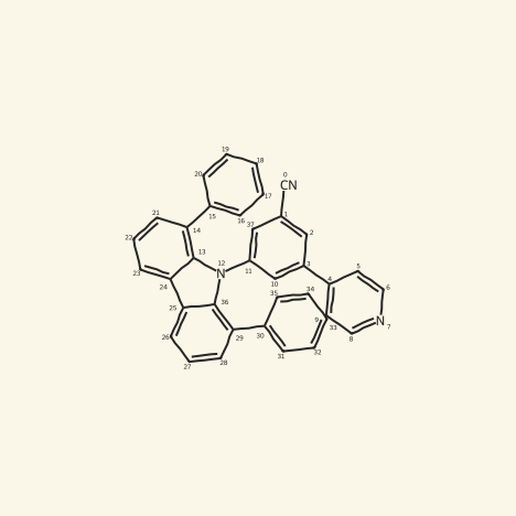 N#Cc1cc(-c2ccncc2)cc(-n2c3c(-c4ccccc4)cccc3c3cccc(-c4ccccc4)c32)c1